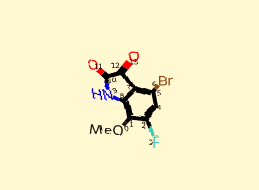 COc1c(F)cc(Br)c2c1NC(=O)C2=O